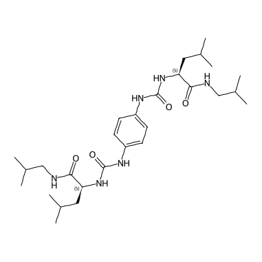 CC(C)CNC(=O)[C@H](CC(C)C)NC(=O)Nc1ccc(NC(=O)N[C@@H](CC(C)C)C(=O)NCC(C)C)cc1